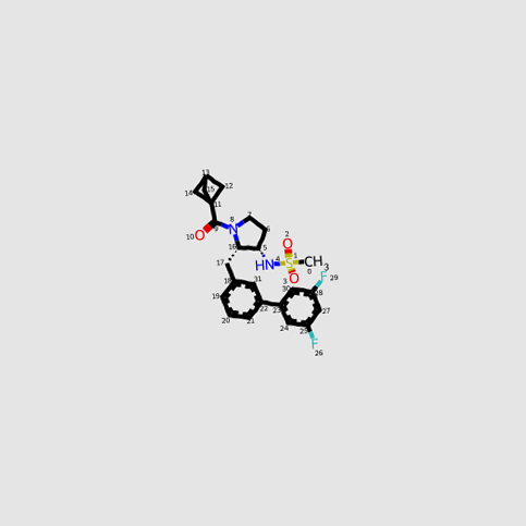 CS(=O)(=O)N[C@H]1CCN(C(=O)C23CC(C2)C3)[C@H]1Cc1cccc(-c2cc(F)cc(F)c2)c1